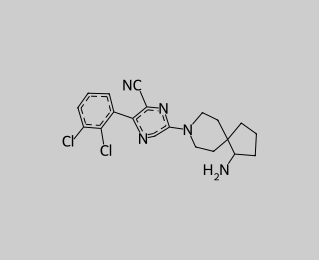 N#Cc1nc(N2CCC3(CCCC3N)CC2)cnc1-c1cccc(Cl)c1Cl